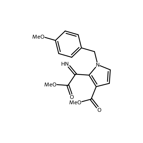 COC(=O)C(=N)c1c(C(=O)OC)ccn1Cc1ccc(OC)cc1